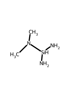 CN(C)[SiH](N)N